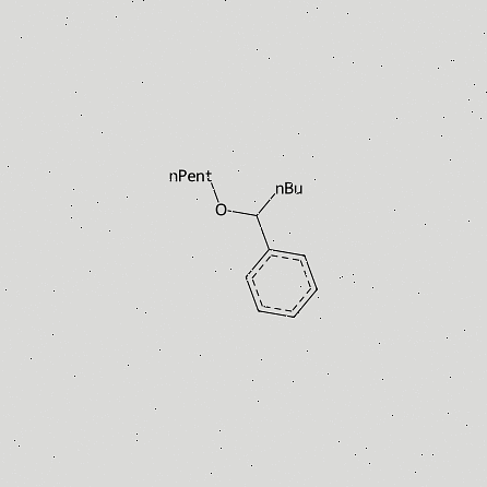 [CH2]CCCC(OCCCCC)c1ccccc1